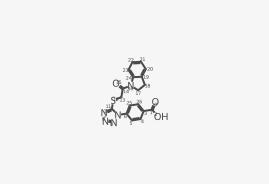 O=C(O)c1ccc(-n2nnnc2SCC(=O)N2CCc3ccccc32)cc1